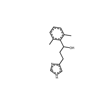 Cc1cccc(C)c1C(O)CCc1c[nH]cn1